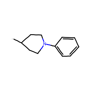 [CH2]C1CCN(c2ccccc2)CC1